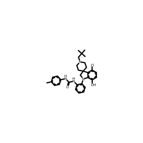 Cc1ccc(NC(=O)Nc2ccccc2N2CC3(CCN(CC(C)(C)C)CC3)c3c(Cl)ccc(O)c32)cc1